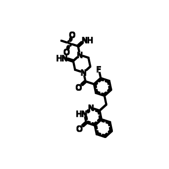 CS(=O)(=O)C(=N)N1CCN(C(=O)c2cc(Cc3n[nH]c(=O)c4ccccc34)ccc2F)CC1=N